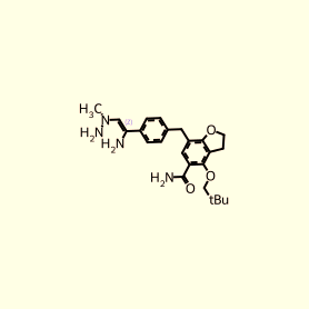 CN(N)/C=C(\N)c1ccc(Cc2cc(C(N)=O)c(OCC(C)(C)C)c3c2OCC3)cc1